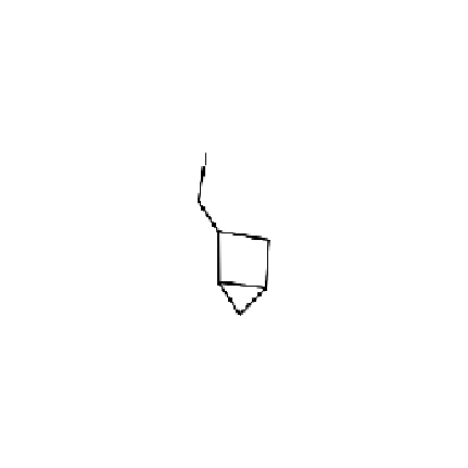 ICC1CC2CC12